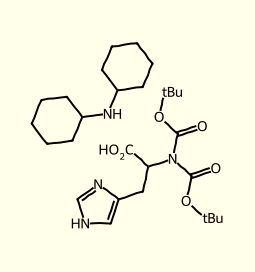 C1CCC(NC2CCCCC2)CC1.CC(C)(C)OC(=O)N(C(=O)OC(C)(C)C)C(Cc1c[nH]cn1)C(=O)O